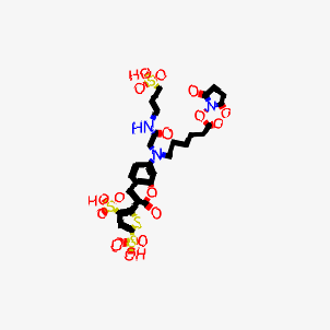 O=C(CN(CCCCCC(=O)ON1C(=O)CCC1=O)c1ccc2cc(-c3sc(S(=O)(=O)O)cc3S(=O)(=O)O)c(=O)oc2c1)NCCCS(=O)(=O)O